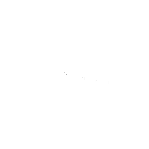 CN1CCN(C2CN(C3=CCCC=C3)C2)CC1